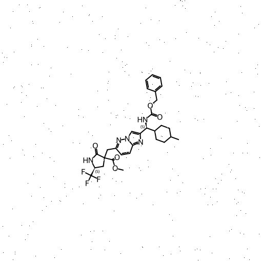 COC(=O)C1(Cc2ccc3nc([C@@H](NC(=O)OCc4ccccc4)C4CCC(C)CC4)cn3n2)C[C@@H](C(F)(F)F)NC1=O